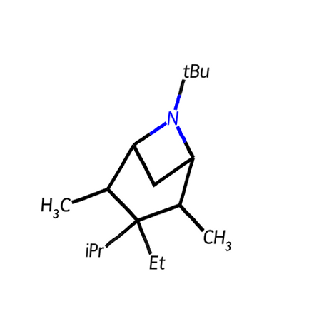 CCC1(C(C)C)C(C)C2CC(C1C)N2C(C)(C)C